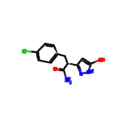 NC(=O)C(Cc1ccc(Cl)cc1)c1cc(O)[nH]n1